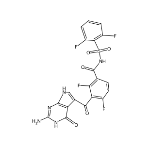 Nc1nc2[nH]cc(C(=O)c3c(F)ccc(C(=O)NS(=O)(=O)c4c(F)cccc4F)c3F)c2c(=O)[nH]1